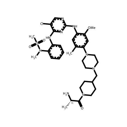 COc1cc(N2CCN(CC3CCN(C(=O)[C@H](C)N)CC3)CC2)c(C)cc1Nc1ncc(Cl)c(Nc2ccccc2N(C)S(C)(=O)=O)n1